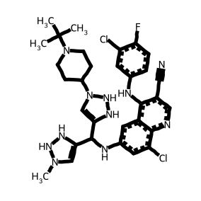 CN1C=C(C(Nc2cc(Cl)c3ncc(C#N)c(Nc4ccc(F)c(Cl)c4)c3c2)C2=CN(C3CCN(C(C)(C)C)CC3)NN2)NN1